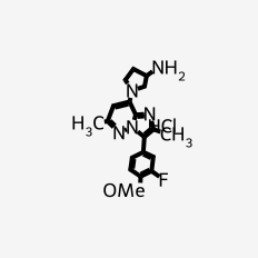 COc1ccc(-c2c(C)nc3c(N4CCC(N)C4)cc(C)nn23)cc1F.Cl